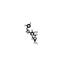 C[C@@H]1C2CN3C(=O)c4c(O)c(=O)c(-c5nnc(Cc6ccc(F)cc6F)s5)cn4C[C@@H]3C21